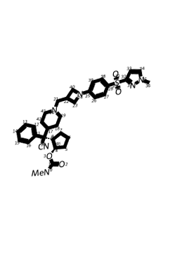 CNC(=O)O[C@@H]1CCC[C@H]1C(C#N)(c1ccccc1)C1CCN(CC2CN(c3ccc(S(=O)(=O)c4ccn(C)n4)cc3)C2)CC1